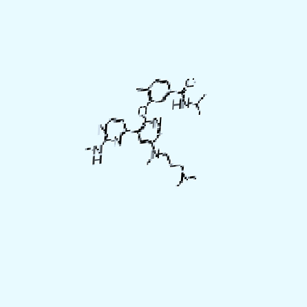 CNc1nccc(-c2cc(N(C)CCCN(C)C)cnc2Oc2cc(C(=O)NC(C)C)ccc2C)n1